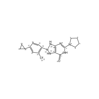 O=c1[nH]c(N2CCCC2)nc2c1NN(c1ccc(C3CC3)cc1C(F)(F)F)N2